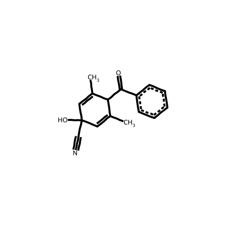 CC1=CC(O)(C#N)C=C(C)C1C(=O)c1ccccc1